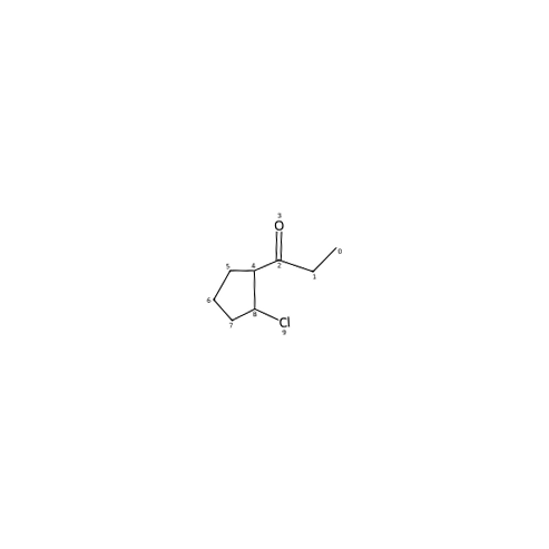 CCC(=O)C1CCCC1Cl